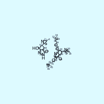 Cc1cnc(-c2cc(O)c3nc[nH]c(=O)c3c2)s1.Cc1cnc(-c2cc(OCOCC[Si](C)(C)C)c3ncn(COCC[Si](C)(C)C)c(=O)c3c2)s1